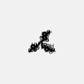 COOc1cccc(C(=O)NCCN(CCN(C)C(=O)c2cccc(OC(=O)OC)c2O)CCn2c(=O)oc3c(OOC)cccc3c2=O)c1OC